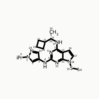 CC(C)n1cc(Nc2nc(N[C@@H](C)C3CCC3)c3ccn(SI)c3n2)cn1